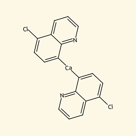 Clc1cc[c]([Ca][c]2ccc(Cl)c3cccnc23)c2ncccc12